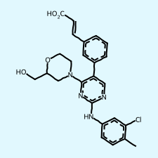 Cc1ccc(Nc2ncc(-c3cccc(/C=C/C(=O)O)c3)c(N3CCOC(CO)C3)n2)cc1Cl